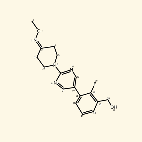 CON=C1CCN(c2ncc(-c3cccc(CO)c3F)cn2)CC1